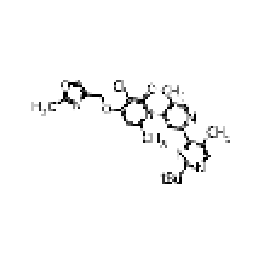 Cc1nc(COc2cc(C)n(-c3cc(-c4nc(C(C)(C)C)ncc4C)ncc3C)c(=O)c2Cl)co1